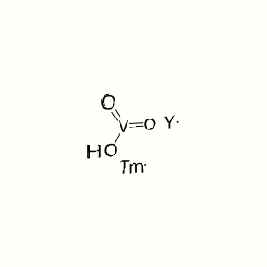 [O]=[V](=[O])[OH].[Tm].[Y]